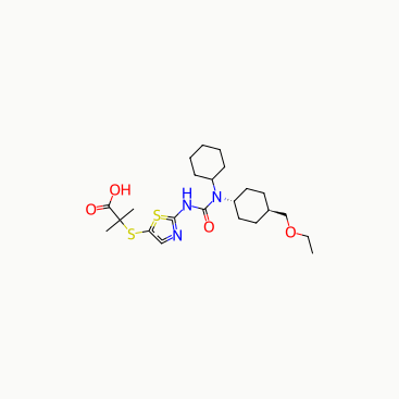 CCOC[C@H]1CC[C@H](N(C(=O)Nc2ncc(SC(C)(C)C(=O)O)s2)C2CCCCC2)CC1